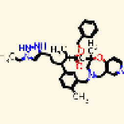 CCN1C=C(CCC(c2ccc(C)c(CN3Cc4cnccc4OC(C)(C)C3)c2)C(C)C(=O)OCc2ccccc2)NN1